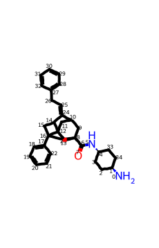 N[C@H]1CC[C@H](NC(=O)C23CC4CC5(C2)C(CC5(c2ccccc2)C3)/C4=C\Cc2ccccc2)CC1